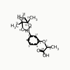 CC(Oc1cccc(B2OC(C)(C)C(C)(C)O2)c1)C(=O)O